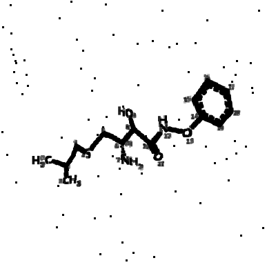 CC(C)CSC[C@@H](N)C(O)C(=O)NOc1ccccc1